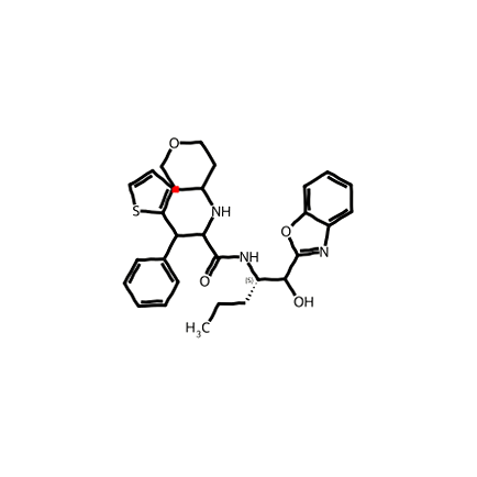 CCC[C@H](NC(=O)C(NC1CCOCC1)C(c1ccccc1)c1cccs1)C(O)c1nc2ccccc2o1